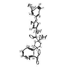 O=C1O[C@]2(CC[C@@](O)(C(=O)Nc3cnn(-c4cccc(F)c4)c3)CC2)c2cccnc21